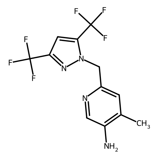 Cc1cc(Cn2nc(C(F)(F)F)cc2C(F)(F)F)ncc1N